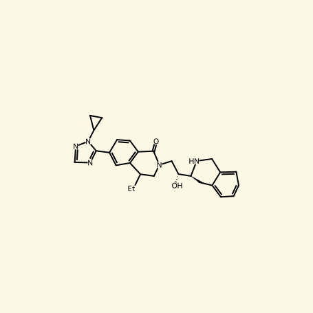 CCC1CN(C[C@@H](O)[C@@H]2Cc3ccccc3CN2)C(=O)c2ccc(-c3ncnn3C3CC3)cc21